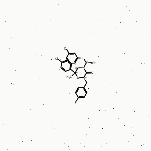 CCC[C@H](C(=O)O)N1C(=O)[C@@H](Cc2ccc(F)cc2)O[C@](C)(c2ccc(Cl)cc2)[C@@H]1c1ccc(Cl)cc1